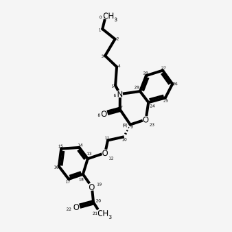 CCCCCCN1C(=O)[C@@H](CCOc2ccccc2OC(C)=O)Oc2ccccc21